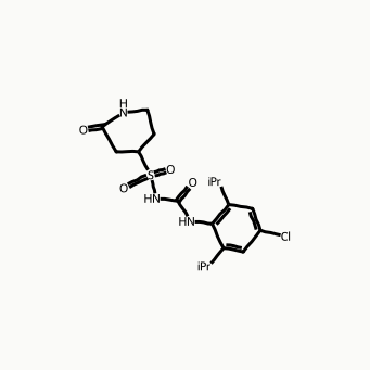 CC(C)c1cc(Cl)cc(C(C)C)c1NC(=O)NS(=O)(=O)C1CCNC(=O)C1